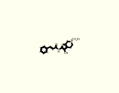 CCOC(=O)N1CCc2c(sc(NC(=O)/C=C/c3ccccc3)c2C#N)C1